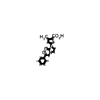 Cc1cc(N2CCN(CC(=O)c3ccccc3)C2=O)sc1C(=O)O